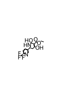 CCOC(=O)C1=C(O)CC(c2ccc(C(F)(F)F)nc2)NC1O